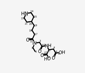 CCN(CC(=O)NC(CC(=O)O)C(=O)O)C(=O)CCCC1CCNCC1